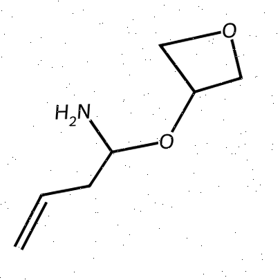 C=CCC(N)OC1COC1